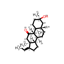 C/C=C1/CC[C@H]2[C@@H]3CC[C@H]4C[C@](C)(O)CC[C@]4(C)[C@H]3C(=O)C[C@]12C